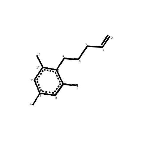 C=CCCCc1c(C)cc(C)cc1C